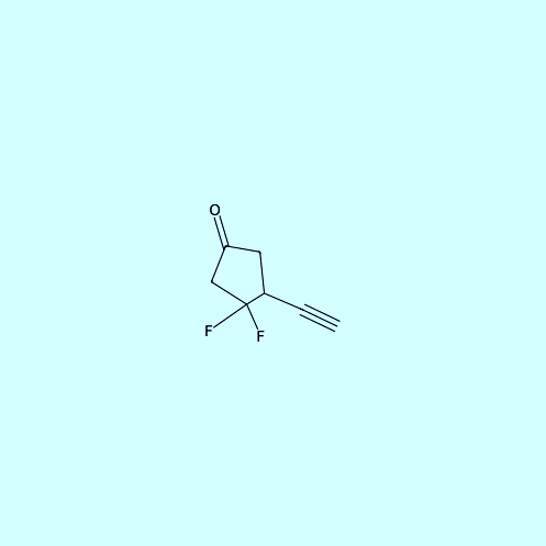 C#CC1CC(=O)CC1(F)F